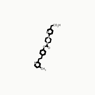 Cc1ccnc(CCc2ccc(OC(=O)N3CCN(c4ccc(CC(=O)O)cn4)CC3)cc2)c1